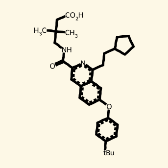 CC(C)(CNC(=O)c1cc2ccc(Oc3ccc(C(C)(C)C)cc3)cc2c(CCC2CCCC2)n1)CC(=O)O